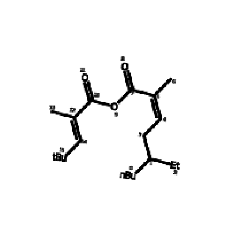 CCCCC(CC)CC=C(C)C(=O)OC(=O)C(C)=CC(C)(C)C